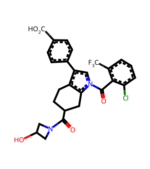 O=C(O)c1ccc(-c2cn(C(=O)c3c(Cl)cccc3C(F)(F)F)c3c2CCC(C(=O)N2CC(O)C2)C3)cc1